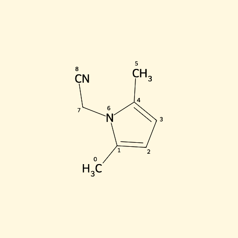 Cc1ccc(C)n1CC#N